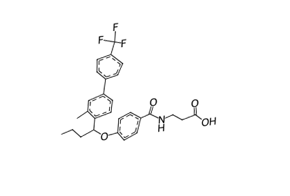 CCCC(Oc1ccc(C(=O)NCCC(=O)O)cc1)c1ccc(-c2ccc(C(F)(F)F)cc2)cc1C